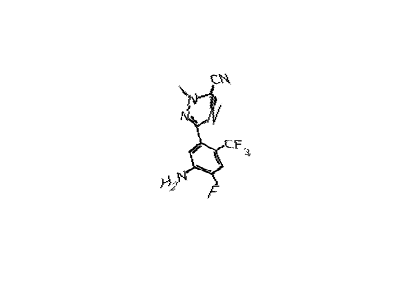 Cn1nc(-c2cc(N)c(F)cc2C(F)(F)F)nc1C#N